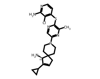 Cc1nc(N2CCC3(CC=C(C4CC4)[C@H]3N)CC2)cnc1Sc1ccnc(N)c1Cl